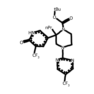 CCCC1(c2c[nH]c(=O)c(C(F)(F)F)c2)CN(c2ncc(C(F)(F)F)cn2)CCN1C(=O)OC(C)(C)C